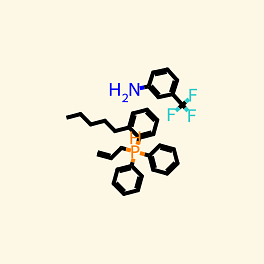 C=CC[PH](c1ccccc1)(c1ccccc1)c1ccccc1CCCCC.Nc1cccc(C(F)(F)F)c1